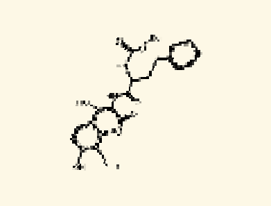 Cc1c(O)ccc2c(O)c(NC(=O)C(CCc3ccccc3)NC(=O)OC(C)(C)C)c(=O)oc12